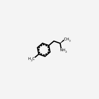 Cc1ccc(C[C@@H](C)N)cc1